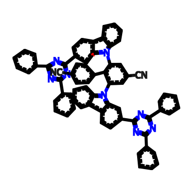 Cc1cc(C#N)ccc1-c1c(-n2c3ccccc3c3ccc(-c4nc(-c5ccccc5)nc(-c5ccccc5)n4)cc32)cc(C#N)cc1-n1c2ccccc2c2ccc(-c3nc(-c4ccccc4)nc(-c4ccccc4)n3)cc21